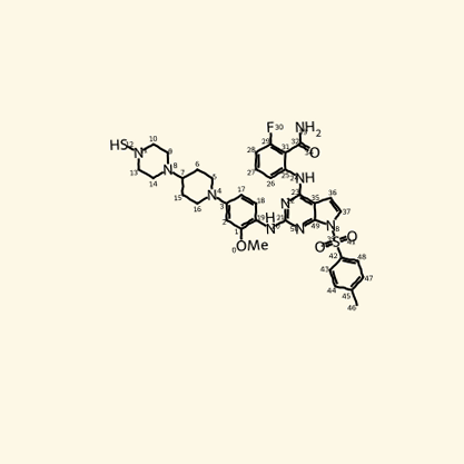 COc1cc(N2CCC(N3CCN(S)CC3)CC2)ccc1Nc1nc(Nc2cccc(F)c2C(N)=O)c2ccn(S(=O)(=O)c3ccc(C)cc3)c2n1